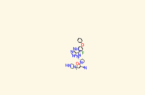 CC(C)(/C=C(/C#N)C(=O)N1CCC[C@H]1Cn1nc(-c2ccc(Oc3ccccc3)cc2F)c2c(N)ncnc21)N1CCNCC1